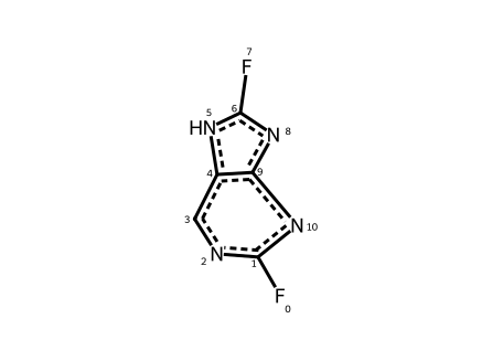 Fc1ncc2[nH]c(F)nc2n1